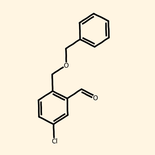 O=Cc1cc(Cl)ccc1COCc1ccccc1